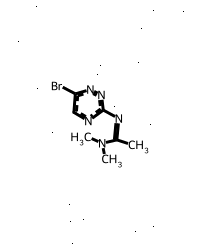 CC(=Nc1ncc(Br)nn1)N(C)C